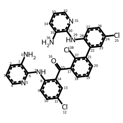 Nc1cccnc1Nc1ccc(Cl)cc1C(=O)c1cccc(-c2cc(Cl)ccc2Nc2ncccc2N)c1Cl